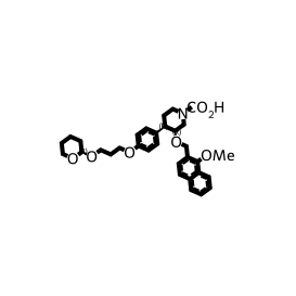 COc1c(CO[C@H]2CN(C(=O)O)CC[C@@H]2c2ccc(OCCCO[C@@H]3CCCCO3)cc2)ccc2ccccc12